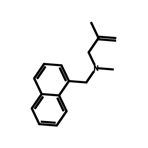 C=C(C)CN(C)Cc1cccc2ccccc12